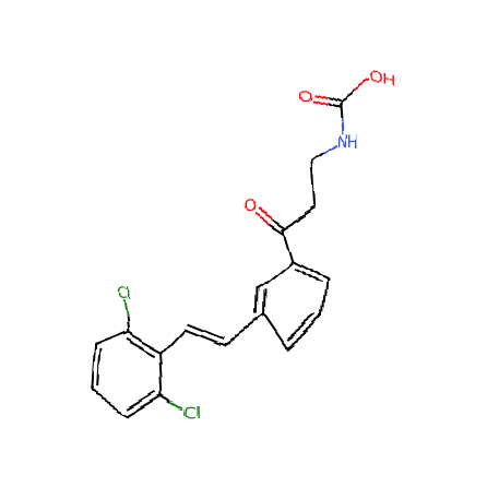 O=C(O)NCCC(=O)c1cccc(C=Cc2c(Cl)cccc2Cl)c1